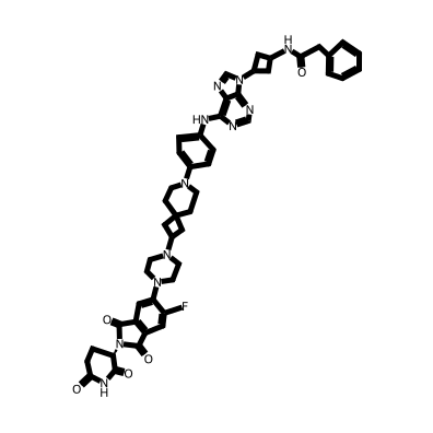 O=C1CC[C@H](N2C(=O)c3cc(F)c(N4CCN(C5CC6(CCN(c7ccc(Nc8ncnc9c8ncn9C8CC(NC(=O)Cc9ccccc9)C8)cc7)CC6)C5)CC4)cc3C2=O)C(=O)N1